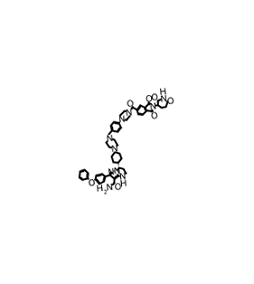 NC(=O)c1c(-c2ccc(Oc3ccccc3)cc2)nn2c1NCC[C@H]2C1CCC(N2CCN(Cc3ccc(N4CCN(C(=O)c5ccc6c(c5)C(=O)N(C5CCC(=O)NC5=O)C6=O)CC4)cc3)CC2)CC1